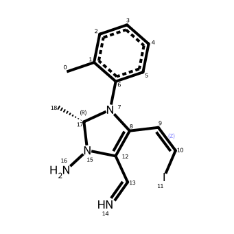 Cc1ccccc1N1C(/C=C\I)=C(C=N)N(N)[C@@H]1C